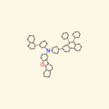 c1ccc(-c2c(-c3ccccc3)c3cc(-c4ccc(N(c5cccc(-c6cccc7ccccc67)c5)c5ccc6oc7c8ccccc8ccc7c6c5)cc4)ccc3c3ccccc23)cc1